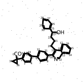 O=C(O)C1(c2ccc(-c3ccc(-c4ncc5ccccc5c4CCCC(O)c4ccccc4)cc3)cc2)CC1